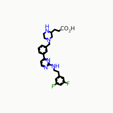 O=C(O)CCC1CN(Cc2cccc(-c3ccnc(NCCc4cc(F)cc(F)c4)n3)c2)CCN1